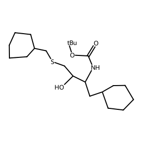 CC(C)(C)OC(=O)NC(CC1CCCCC1)C(O)CSCC1CCCCC1